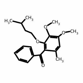 COc1cc(C)c(C(=O)c2ccccc2)c(OCCC(C)C)c1OC